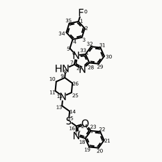 Fc1ccc(Cn2c(NC3CCN(CCSc4nc5ccccc5o4)CC3)nc3ccccc32)cc1